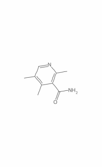 Cc1cnc(C)c(C(N)=O)c1C